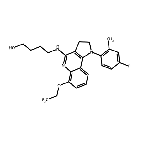 Cc1cc(F)ccc1N1CCc2c(NCCCCO)nc3c(OCC(F)(F)F)cccc3c21